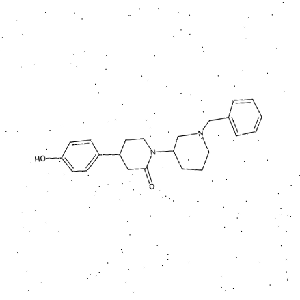 O=C1CC(c2ccc(O)cc2)CCN1C1CCCN(Cc2ccccc2)C1